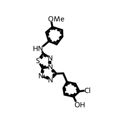 COc1cccc(Nc2nn3c(Cc4ccc(O)c(Cl)c4)nnc3s2)c1